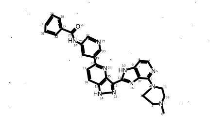 CN1CCN(c2nccc3[nH]c(-c4n[nH]c5ccc(-c6cncc(NC(=O)c7ccccc7)c6)nc45)nc23)CC1